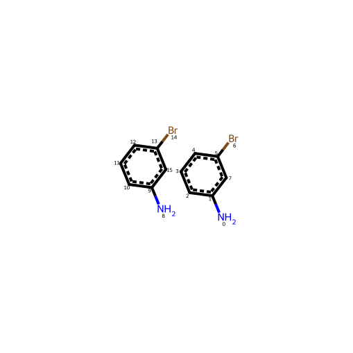 Nc1cccc(Br)c1.Nc1cccc(Br)c1